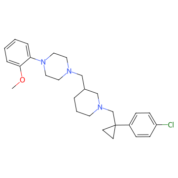 COc1ccccc1N1CCN(CC2CCCN(CC3(c4ccc(Cl)cc4)CC3)C2)CC1